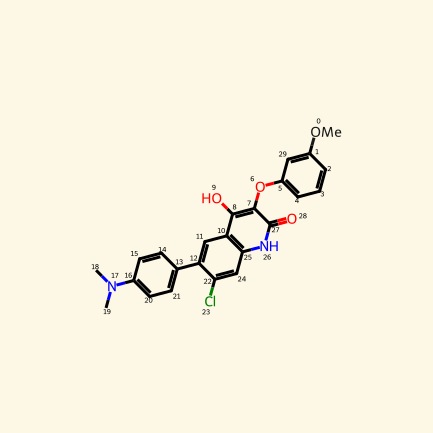 COc1cccc(Oc2c(O)c3cc(-c4ccc(N(C)C)cc4)c(Cl)cc3[nH]c2=O)c1